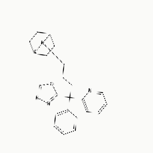 c1ccc(C(CCCN2CC3CCC(CC3)C2)(c2ccccn2)c2nnco2)cc1